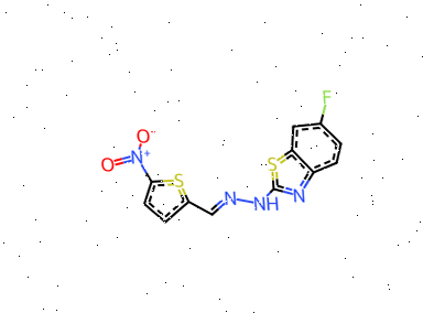 O=[N+]([O-])c1ccc(C=NNc2nc3ccc(F)cc3s2)s1